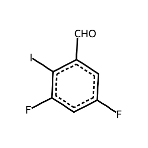 O=Cc1cc(F)cc(F)c1I